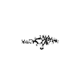 COc1ccc2c(c1)C(=O)N(CCCCBr)S2(O)O